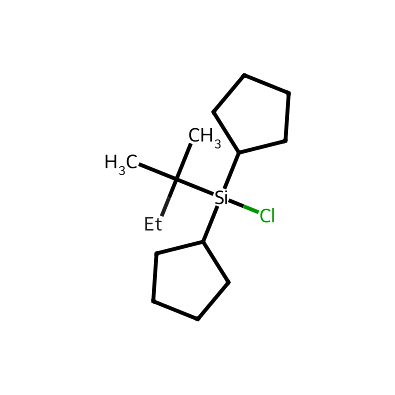 CCC(C)(C)[Si](Cl)(C1CCCC1)C1CCCC1